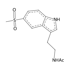 CC(=O)NCCc1c[nH]c2ccc(S(C)(=O)=O)cc12